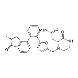 CNC(=O)CC1C(=O)NCCN1Cc1ccc(-c2ccccc2-c2cccc3c2CN(C)C3=O)o1